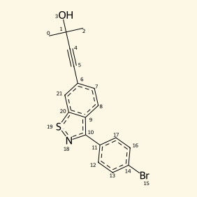 CC(C)(O)C#Cc1ccc2c(-c3ccc(Br)cc3)nsc2c1